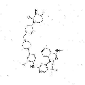 CNC(=O)c1ccccc1Nc1cc(Nc2ccc(N3CCN(Cc4ccc(N5CCC(=O)NC5=O)cc4)CC3)cc2OC)ncc1C(F)(F)F